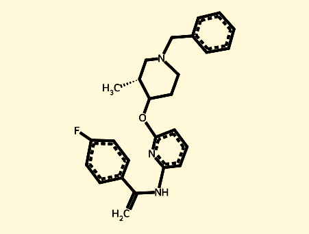 C=C(Nc1cccc(OC2CCN(Cc3ccccc3)C[C@H]2C)n1)c1ccc(F)cc1